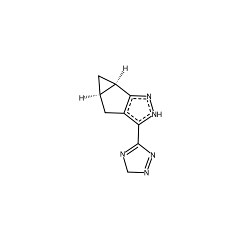 C1N=NC(c2[nH]nc3c2C[C@H]2C[C@@H]32)=N1